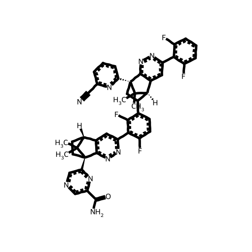 CC1(C)[C@@H]2CC[C@@]1(c1cncc(C(N)=O)n1)c1nnc(-c3c(F)ccc(C4C[C@@]5(c6cccc(C#N)n6)c6nnc(-c7c(F)cccc7F)cc6[C@@H]4C5(C)C)c3F)cc12